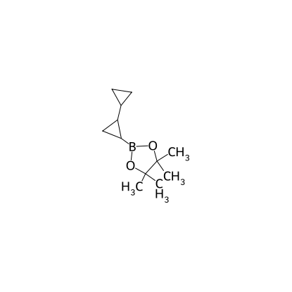 CC1(C)OB(C2CC2C2CC2)OC1(C)C